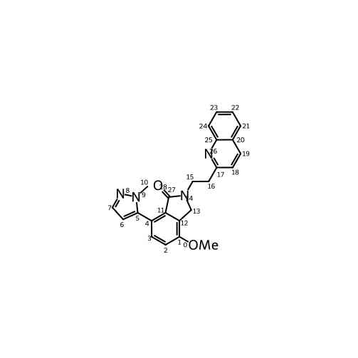 COc1ccc(-c2ccnn2C)c2c1CN(CCc1ccc3ccccc3n1)C2=O